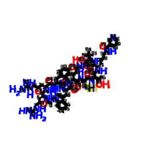 CC(=O)N[C@@H](CCCNC(=N)N)C(=O)N[C@@H](CCCNC(=N)N)C(=O)N[C@@H](Cc1ccccc1)C(=O)N[C@@H](Cc1c[nH]c2ccccc12)C(=O)N[C@@H](CCC(N)=O)C(=O)N[C@@H](CS)C(=O)N[C@H](C(=O)N[C@@H](CCCCNC(=O)c1cccnc1)C(=O)N[C@H](C(=O)O)C(C)(C)C)[C@@H](C)O